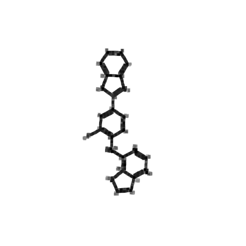 Fc1cc(-c2nc3ccccc3s2)ccc1Nc1ncnc2ccsc12